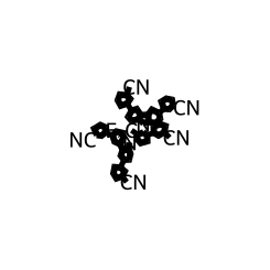 N#Cc1cccc(-c2ccc3c(c2)c2cc(-c4cccc(C#N)c4)ccc2n3-c2ccc(-c3cccc(C#N)c3)c(-n3c4ccc(-c5cccc(C#N)c5)cc4c4cc(-c5cccc(C#N)c5)ccc43)c2C(F)(F)F)c1